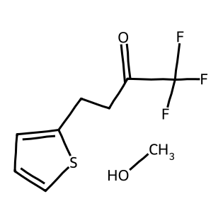 CO.O=C(CCc1cccs1)C(F)(F)F